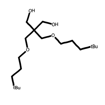 CC(C)(C)CCCOCC(CO)(CO)COCCCC(C)(C)C